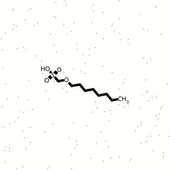 CCCCCCCCOCS(=O)(=O)O